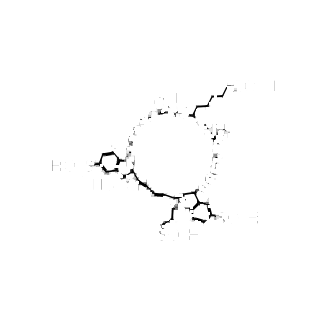 CC1(C)C2=[N+](CCCCCC(=O)NCC(CCCCCC(=O)O)CNC(=O)CCCCCC3/C(=C/C=C/C=C/2)N(CCCS(=O)(=O)O)c2ccc(S(=O)(=O)O)cc23)c2ccc(S(=O)(=O)O)cc21